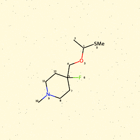 CSC(C)OCC1(F)CCN(C)CC1